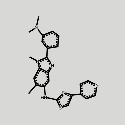 Cc1cc2c(cc1Nc1nc(-c3ccncc3)cs1)nc(-c1cccc(N(C)C)c1)n2C